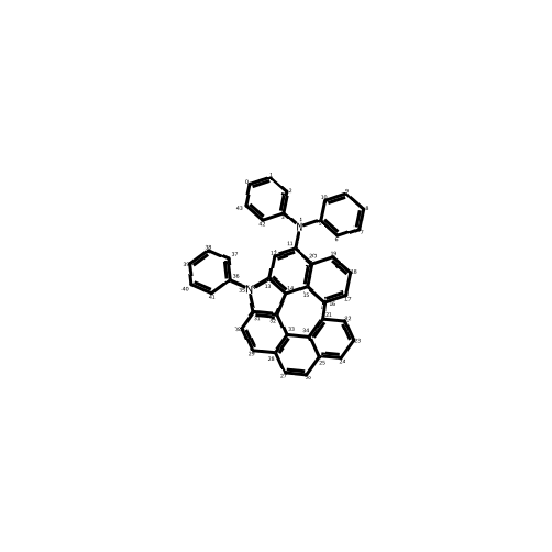 c1ccc(N(c2ccccc2)c2cc3c4c5c(cccc25)-c2cccc5ccc6ccc(c4c6c25)n3-c2ccccc2)cc1